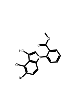 COC(=O)c1ccccc1-n1cc(O)c2c(Cl)c(Br)ccc21